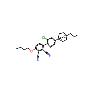 CCCCOc1ccc(-c2ccc(C34CCC(CCC)(CC3)CC4)cc2Cl)c(C#N)c1C#N